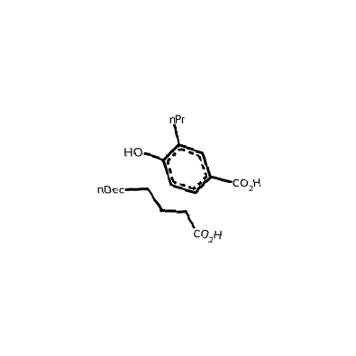 CCCCCCCCCCCCCC(=O)O.CCCc1cc(C(=O)O)ccc1O